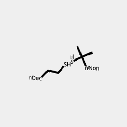 CCCCCCCCCC(C)(C)S.CCCCCCCCCCCCS